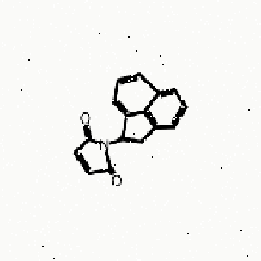 O=C1C=CC(=O)N1C1Cc2cccc3cccc1c23